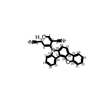 C/C=C(C#N)\C(=C/CC#N)n1c2ccccc2c2c3oc4ccccc4c3ccc21